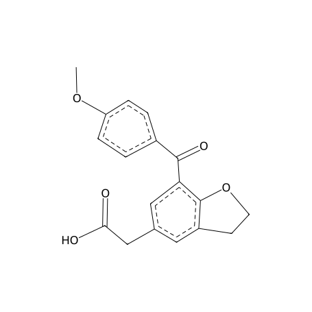 COc1ccc(C(=O)c2cc(CC(=O)O)cc3c2OCC3)cc1